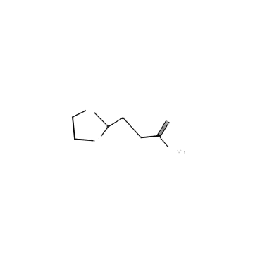 COC(=O)CCC1OCCO1